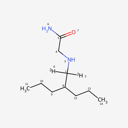 [2H]C([2H])(NCC(N)=O)C(CCC)CCC